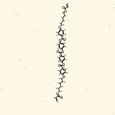 C=CC(=O)OCCCCCCOc1ccc(C(=O)Oc2ccc(OC(=O)c3ccc(OC(=O)c4ccc(OCCCCCCOC(=O)C=C)cc4)cc3)cc2)cc1